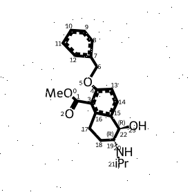 COC(=O)c1c(OCc2ccccc2)ccc2c1CC[C@@H](NC(C)C)[C@@H]2O